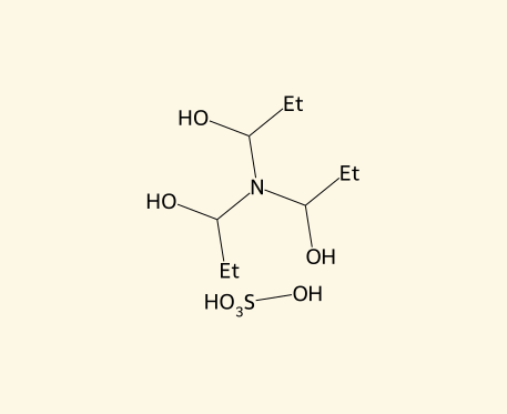 CCC(O)N(C(O)CC)C(O)CC.O=S(=O)(O)O